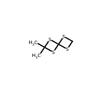 CC1(C)SC2(SCS2)S1